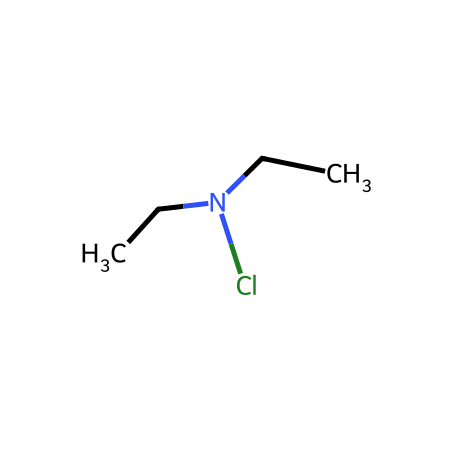 CCN(Cl)CC